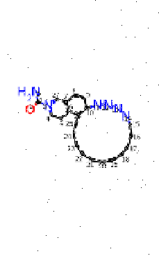 NC(=O)n1ccc2c(ccc3nnnncccccccccccc32)c1